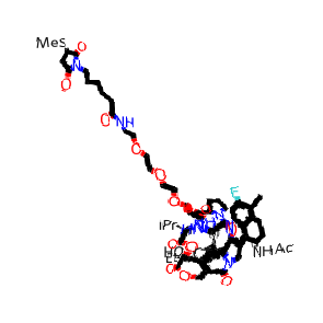 CC[C@@]1(OC(=O)[C@@H](NC(=O)C2CCCN2C(=O)[C@H](CC(=O)O)NC(=O)CCOCCOCCOCCNC(=O)CCCCCN2C(=O)CC(SC)C2=O)C(C)C)C(=O)OCc2c1cc1n(c2=O)Cc2c-1nc1cc(F)c(C)c3c1c2[C@@H](NC(C)=O)CC3